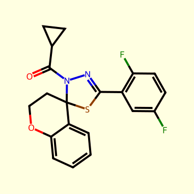 O=C(C1CC1)N1N=C(c2cc(F)ccc2F)SC12CCOc1ccccc12